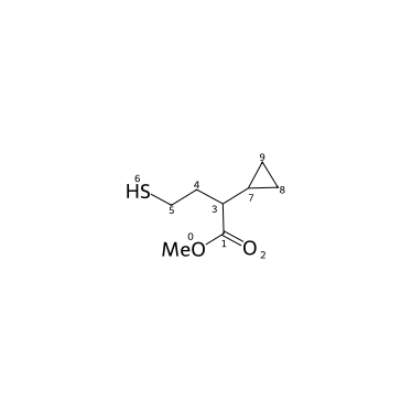 COC(=O)C(CCS)C1CC1